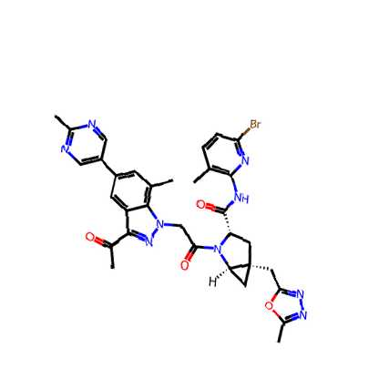 CC(=O)c1nn(CC(=O)N2[C@H](C(=O)Nc3nc(Br)ccc3C)C[C@@]3(Cc4nnc(C)o4)C[C@@H]23)c2c(C)cc(-c3cnc(C)nc3)cc12